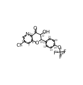 O=C1c2ncc(Cl)cc2OC(c2ccc(OC(F)(F)F)cc2)C1O